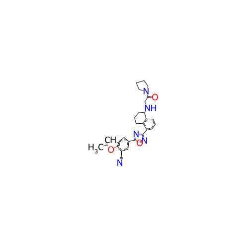 CC(C)Oc1ccc(-c2nc(-c3cccc4c3CCCC4NCC(=O)N3CCCC3)no2)cc1C#N